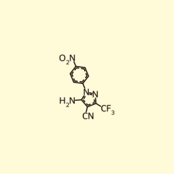 N#Cc1c(C(F)(F)F)nn(-c2ccc([N+](=O)[O-])cc2)c1N